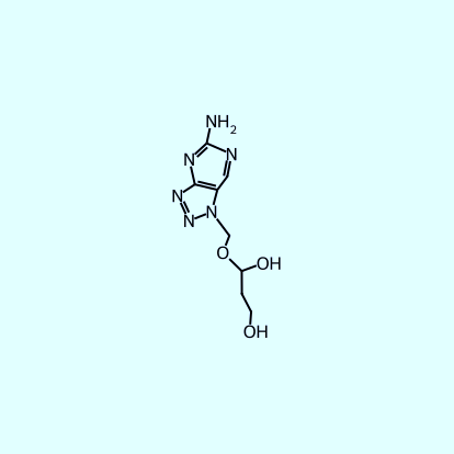 Nc1ncc2c(nnn2COC(O)CCO)n1